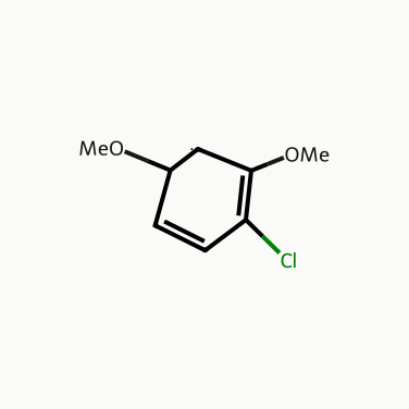 COC1=C(Cl)C=CC(OC)[CH]1